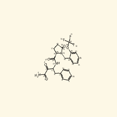 NC(=O)C(=O)C(Cc1ccccc1)NC(=O)[C@H]1CCC(=O)N1Cc1ccccc1OC(F)(F)F